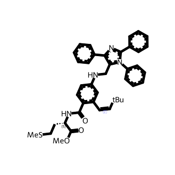 COC(=O)[C@H](CCSC)NC(=O)c1ccc(NCc2c(-c3ccccc3)nc(-c3ccccc3)n2-c2ccccc2)cc1/C=C\C(C)(C)C